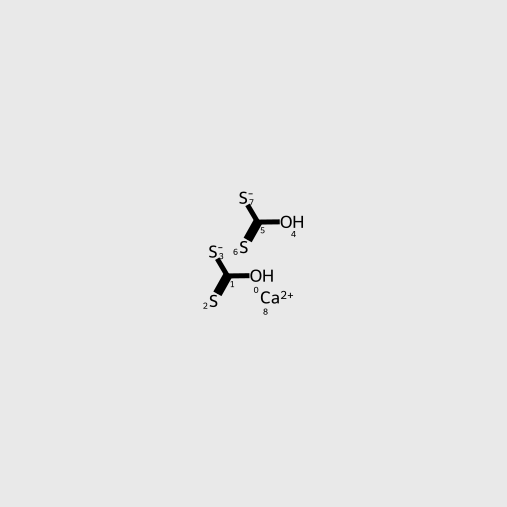 OC(=S)[S-].OC(=S)[S-].[Ca+2]